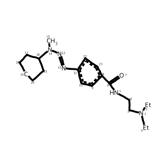 CCN(CC)CCNC(=O)c1ccc(N=NN(C)C2CCCCC2)cc1